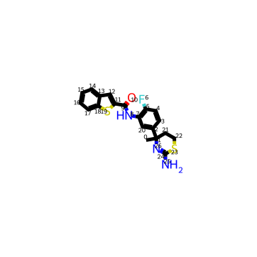 CC1(c2ccc(F)c(NC(=O)c3cc4ccccc4s3)c2)CCSC(N)=N1